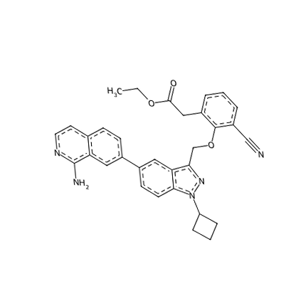 CCOC(=O)Cc1cccc(C#N)c1OCc1nn(C2CCC2)c2ccc(-c3ccc4ccnc(N)c4c3)cc12